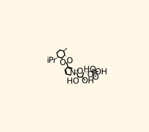 CC(C)[C@@H]1CC[C@@H](C)C[C@H]1OC(=O)c1ccc[n+]([C@@H]2O[C@H](COP(=O)(O)O)[C@@H](O)[C@H]2O)c1